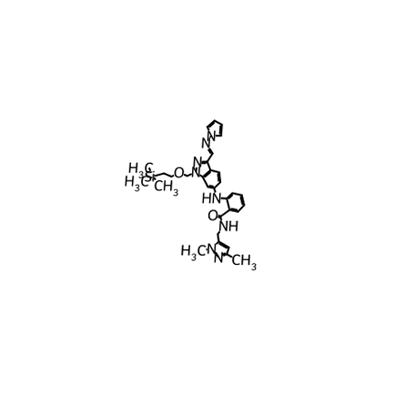 Cc1cc(CNC(=O)c2ccccc2Nc2ccc3c(C=Nn4cccc4)nn(COCC[Si](C)(C)C)c3c2)n(C)n1